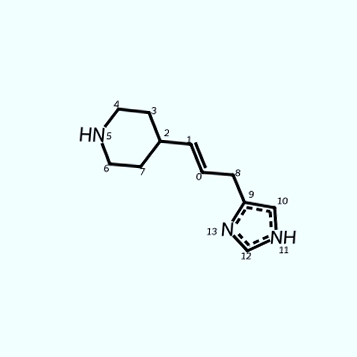 C(=CC1CCNCC1)Cc1c[nH]cn1